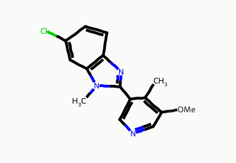 COc1cncc(-c2nc3ccc(Cl)cc3n2C)c1C